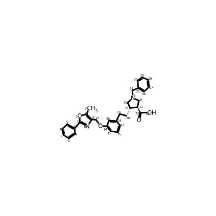 Cc1oc(-c2ccccc2)nc1COc1cccc(CC[C@@H]2CN(Cc3ccccc3)C[C@H]2C(=O)O)c1